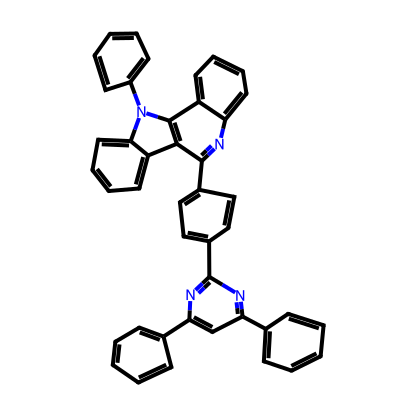 c1ccc(-c2cc(-c3ccccc3)nc(-c3ccc(-c4nc5ccccc5c5c4c4ccccc4n5-c4ccccc4)cc3)n2)cc1